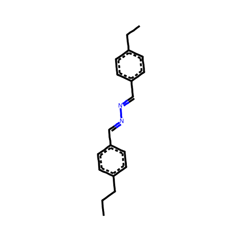 CCCc1ccc(/C=N/N=C/c2ccc(CC)cc2)cc1